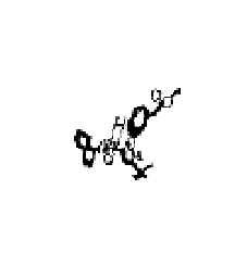 CCOC(=O)Cc1cccc(-n2nc(C(C)(C)C)cc2NC(=O)Nc2cccc3ccccc23)c1